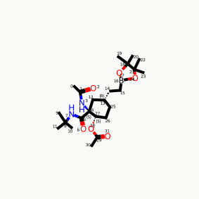 CC(=O)N[C@@]1(C(=O)NC(C)(C)C)C[C@H](CCB2OC(C)(C)C(C)(C)O2)CC[C@@H]1OC(C)=O